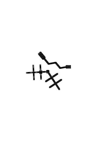 C#CCCCO.CC(C)(C)[Si](C)(C)O[Si](C)(C)C(C)(C)C